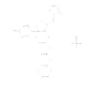 COc1ccc(C23CCC(NC(=O)Nc4ccc(F)c(F)c4)CC2N(Cc2cccn2C)CC3)cc1OC.O=C(O)C(F)(F)F